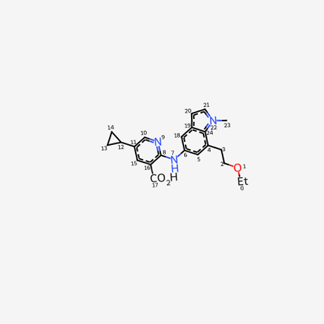 CCOCCc1cc(Nc2ncc(C3CC3)cc2C(=O)O)cc2ccn(C)c12